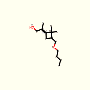 CCCCOCC1C/C(=C(/C)CO)C1(C)C